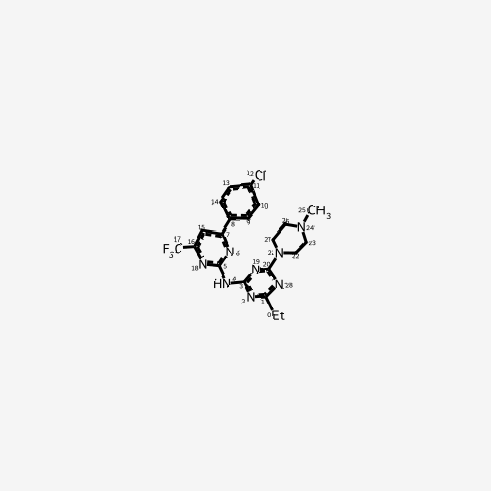 CCc1nc(Nc2nc(-c3ccc(Cl)cc3)cc(C(F)(F)F)n2)nc(N2CCN(C)CC2)n1